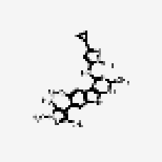 COc1cc2c3c([nH]c2cc1-c1c(C)nn(C)c1C)NC(C)N=C3Nc1cc(C2CC2)nn1C